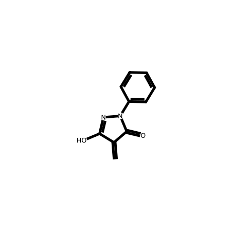 C=C1C(=O)N(c2ccccc2)N=C1O